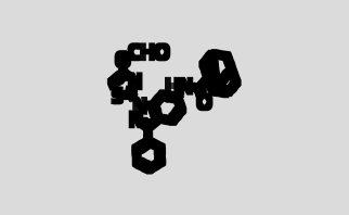 O=COc1csc(-n2nc(-c3ccccc3)c3ccc(NC(=O)C45CC6CC(CC(C6)C4)C5)cc32)n1